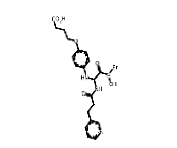 CCN(O)C(=O)C(NC(=O)CCc1cccnc1)Nc1ccc(OCCCC(=O)O)cc1